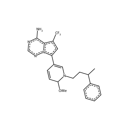 COC1C=CC(c2cc(C(F)(F)F)c3c(N)ncnn23)=CN1CCC(C)c1ccccc1